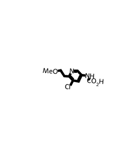 COCCc1ncc(NC(=O)O)cc1Cl